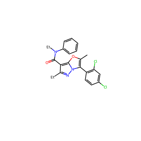 CCc1nn2c(-c3ccc(Cl)cc3Cl)c(C)oc2c1C(=O)N(CC)c1ccccc1